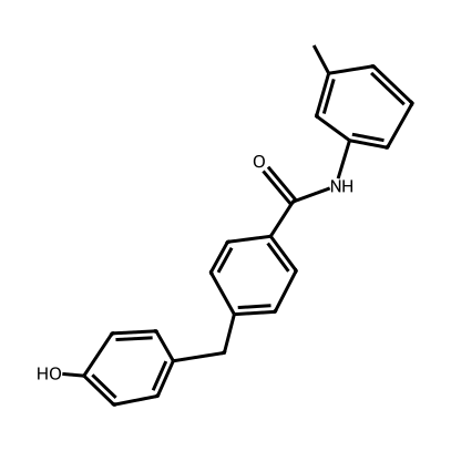 Cc1cccc(NC(=O)c2ccc(Cc3ccc(O)cc3)cc2)c1